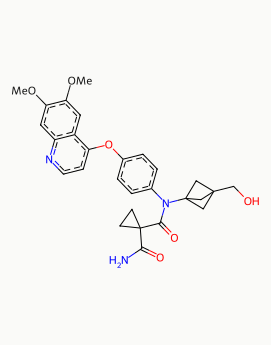 COc1cc2nccc(Oc3ccc(N(C(=O)C4(C(N)=O)CC4)C45CC(CO)(C4)C5)cc3)c2cc1OC